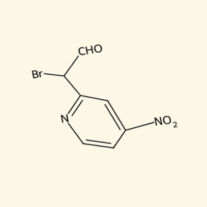 O=CC(Br)c1cc([N+](=O)[O-])ccn1